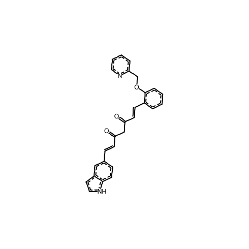 O=C(C=Cc1ccc2[nH]ccc2c1)CC(=O)C=Cc1ccccc1OCc1ccccn1